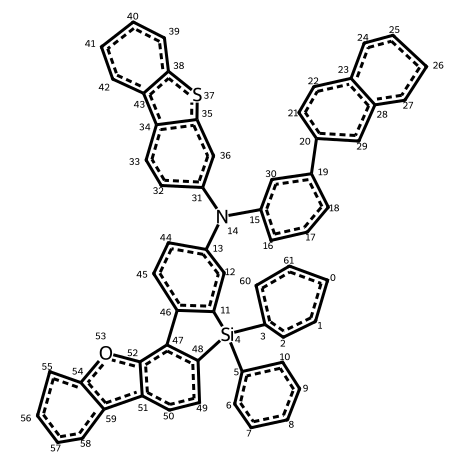 c1ccc([Si]2(c3ccccc3)c3cc(N(c4cccc(-c5ccc6ccccc6c5)c4)c4ccc5c(c4)sc4ccccc45)ccc3-c3c2ccc2c3oc3ccccc32)cc1